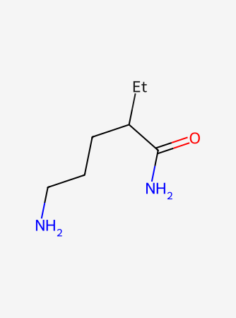 CCC(CCCN)C(N)=O